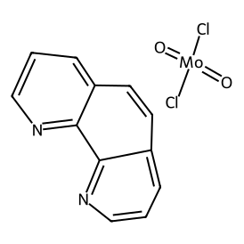 [O]=[Mo](=[O])([Cl])[Cl].c1cnc2c(c1)ccc1cccnc12